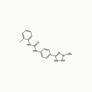 CCCCN1N=C(c2ccc(NC(=O)Nc3ccccc3C)cc2)NN1